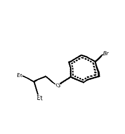 CCC(CC)COc1ccc(Br)cc1